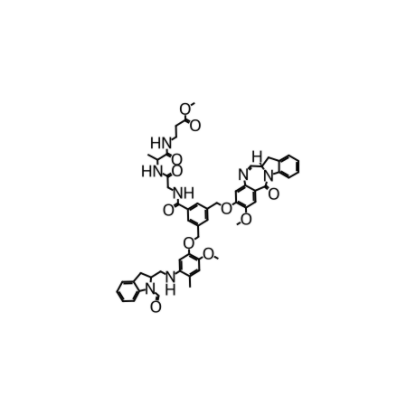 COC(=O)CCNC(=O)C(C)NC(=O)CNC(=O)c1cc(COc2cc3c(cc2OC)C(=O)N2c4ccccc4C[C@H]2C=N3)cc(COc2cc(NCC3Cc4ccccc4N3C=O)c(C)cc2OC)c1